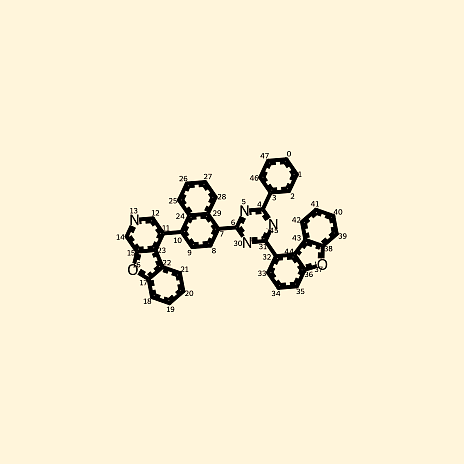 c1ccc(-c2nc(-c3ccc(-c4cncc5oc6ccccc6c45)c4ccccc34)nc(-c3cccc4oc5ccccc5c34)n2)cc1